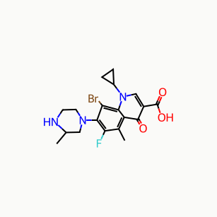 Cc1c(F)c(N2CCNC(C)C2)c(Br)c2c1c(=O)c(C(=O)O)cn2C1CC1